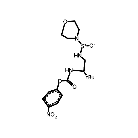 CC(C)(C)[C@H](CN[S+]([O-])N1CCOCC1)NC(=O)Oc1ccc([N+](=O)[O-])cc1